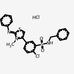 Cl.Cn1c(-c2ccc(Cl)c(S(=O)(=O)NCc3ccccc3)c2)csc1=Nc1ccccc1